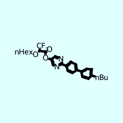 CCCCCCOC(C(=O)Oc1cnc(-c2ccc(-c3ccc(CCCC)cc3)cc2)nc1)C(F)(F)F